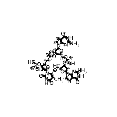 Cc1cn([C@H]2C[C@H](OP(O)(=S)OCC(C)C)[C@@H](COP(O)(=S)OC3C[C@H](n4cnc5c(=O)[nH]c(N)nc54)O[C@@H]3COP(O)(=S)O[C@H]3C[C@H](n4cnc5c(=O)[nH]c(N)nc54)O[C@@H]3CO)O2)c(=O)[nH]c1=O